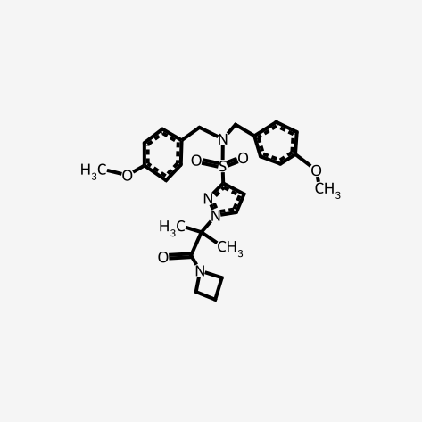 COc1ccc(CN(Cc2ccc(OC)cc2)S(=O)(=O)c2ccn(C(C)(C)C(=O)N3CCC3)n2)cc1